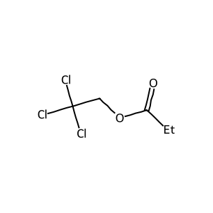 CCC(=O)OCC(Cl)(Cl)Cl